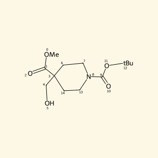 COC(=O)C1(CO)CCN(C(=O)OC(C)(C)C)CC1